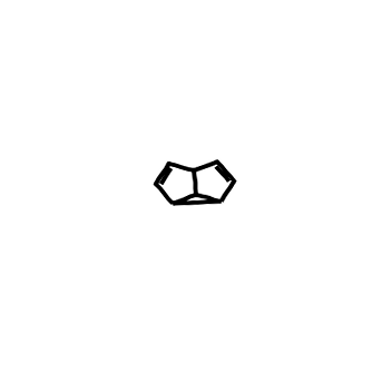 C1=CC2C3C=CC1C23